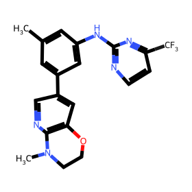 Cc1cc(Nc2nccc(C(F)(F)F)n2)cc(-c2cnc3c(c2)OCCN3C)c1